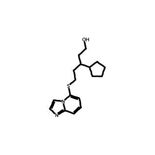 OCCC(CCSc1cccc2nccn12)C1CCCC1